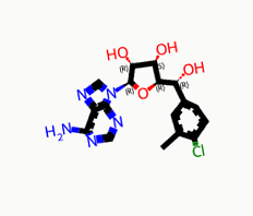 Cc1cc([C@@H](O)[C@H]2O[C@@H](n3cnc4c(N)ncnc43)[C@H](O)[C@@H]2O)ccc1Cl